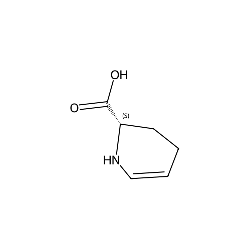 O=C(O)[C@@H]1CCC=CN1